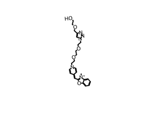 C[n+]1c(C=C2C=CN(CCOCCOCCn3cc(COCCO)nn3)C=C2)oc2ccccc21